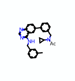 CC(=O)N(Cc1cccc(-c2ccc3ncnc(NCc4cccc(C)c4)c3c2)c1)C1CC1